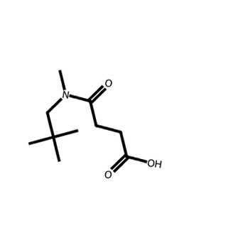 CN(CC(C)(C)C)C(=O)CCC(=O)O